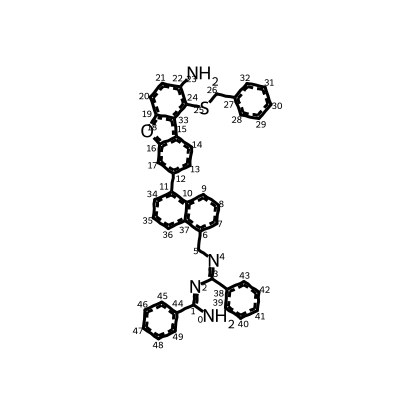 N/C(=N\C(=N/Cc1cccc2c(-c3ccc4c(c3)oc3ccc(N)c(SCc5ccccc5)c34)cccc12)c1ccccc1)c1ccccc1